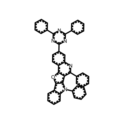 c1ccc(-c2nc(-c3ccccc3)nc(-c3ccc4c(c3)nc(-c3ccccc3)c3c4oc4c5ccccc5n(-c5ccccc5)c43)n2)cc1